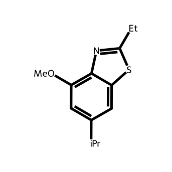 CCc1nc2c(OC)cc(C(C)C)cc2s1